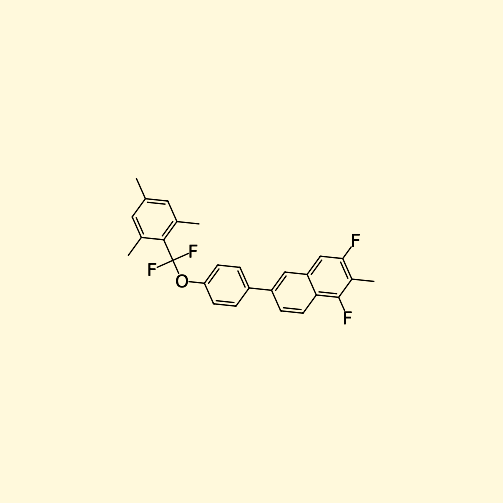 Cc1cc(C)c(C(F)(F)Oc2ccc(-c3ccc4c(F)c(C)c(F)cc4c3)cc2)c(C)c1